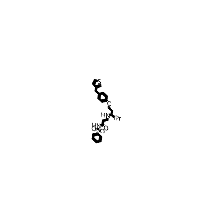 CC(C)C(CCOc1ccc(Cc2ccsc2)cc1)NCCC(=O)NS(=O)(=O)c1ccccc1